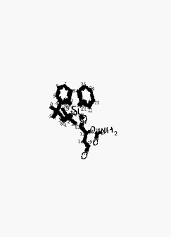 CC(C)(C)c1ccccc1[Si](OCC(CC=O)OC(N)=O)(c1ccccc1)C(C)(C)C